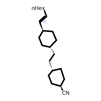 CCCCCC/C=C/[C@H]1CC[C@H](CC[C@H]2CC[C@H](C#N)CC2)CC1